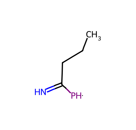 CCCC(=N)[PH]